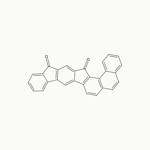 O=c1c2ccccc2c2cc3c(cc12)c(=O)c1c3ccc2ccc3ccccc3c21